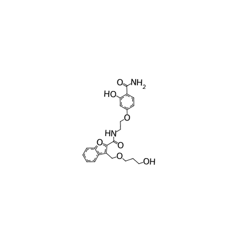 NC(=O)c1ccc(OCCNC(=O)c2oc3ccccc3c2COCCCO)cc1O